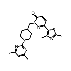 Cc1cc(C)nc(N2CCC(Cn3nc(-c4sc(C)nc4C)ccc3=O)CC2)n1